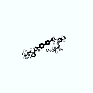 COC(=O)N[C@H](C(=O)N1CCC[C@H]1c1ncc(-c2ccc(-c3ccc(-c4cnc([C@@H]5CC6(CN5OC[C@@H](NC(=O)OC)C(C)C)OCCO6)[nH]4)cc3)cc2)[nH]1)C(C)C